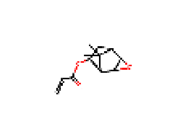 C=CC(=O)OC1CC2C3OC3C1C2(C)C